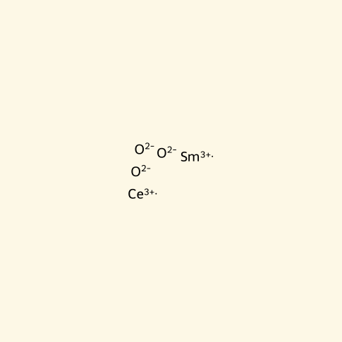 [Ce+3].[O-2].[O-2].[O-2].[Sm+3]